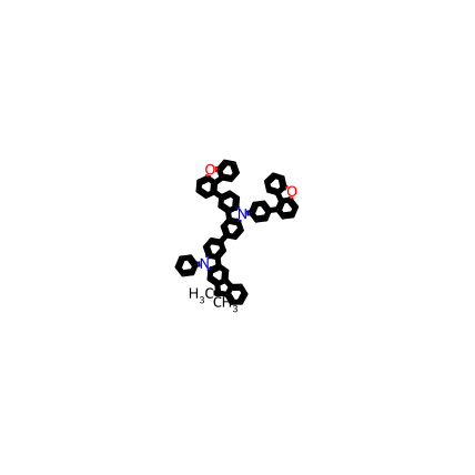 CC1(C)c2ccccc2-c2cc3c4cc(-c5ccc6c(c5)c5cc(-c7cccc8oc9ccccc9c78)ccc5n6-c5ccc(-c6cccc7oc8ccccc8c67)cc5)ccc4n(-c4ccccc4)c3cc21